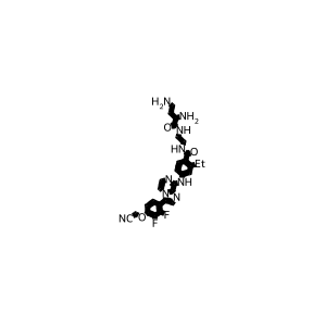 CCc1cc(Nc2nccn3c(-c4ccc(OCC#N)c(F)c4F)cnc23)ccc1C(=O)NCCNC(=O)C(N)CCN